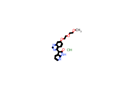 COCCOCCOc1ccc2c(C3C(=O)Nc4ncccc43)ncnc2c1.Cl